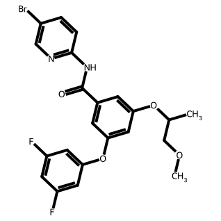 COCC(C)Oc1cc(Oc2cc(F)cc(F)c2)cc(C(=O)Nc2ccc(Br)cn2)c1